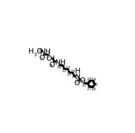 CNC(=O)COCC(=O)NCCCCCCCNC(=O)OCc1ccccc1